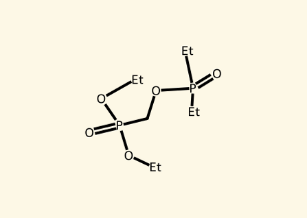 CCOP(=O)(COP(=O)(CC)CC)OCC